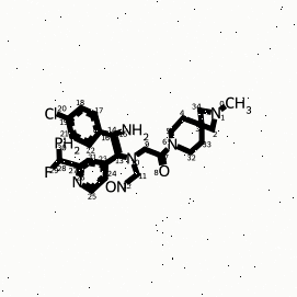 CN1CC2(CCN(C(=O)CN(CN=O)/C(=C(\N)c3ccc(Cl)cc3)c3ccnc(C(F)P)c3)CC2)C1